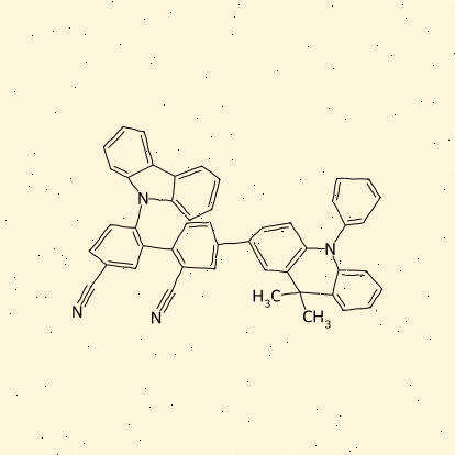 CC1(C)c2ccccc2N(c2ccccc2)c2ccc(-c3ccc(-c4cc(C#N)ccc4-n4c5ccccc5c5ccccc54)c(C#N)c3)cc21